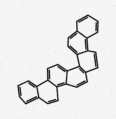 c1ccc2c(c1)ccc1c2ccc2c1ccc1ccc3c4ccccc4ccc3c12